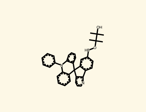 CC(C)(O)C(C)(C)OBc1ccc2c(c1)C1(c3ccccc3N(c3ccccc3)c3ccccc31)c1cccnc1-2